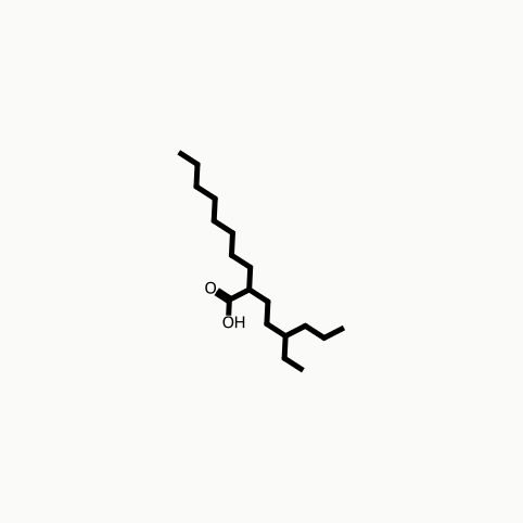 CCCCCCCCC(CCC(CC)CCC)C(=O)O